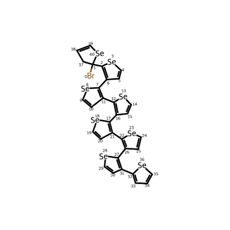 BrC1(c2[se]ccc2-c2[se]ccc2-c2[se]ccc2-c2[se]ccc2-c2[se]ccc2-c2[se]ccc2-c2ccc[se]2)CC=C[Se]1